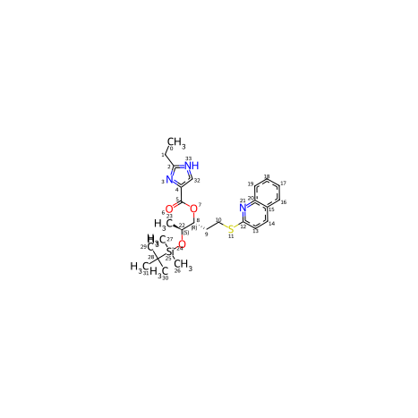 CCc1nc(C(=O)O[C@H](CCSc2ccc3ccccc3n2)[C@H](C)O[Si](C)(C)C(C)(C)C)c[nH]1